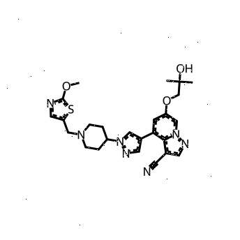 COc1ncc(CN2CCC(n3cc(-c4cc(OCC(C)(C)O)cn5ncc(C#N)c45)cn3)CC2)s1